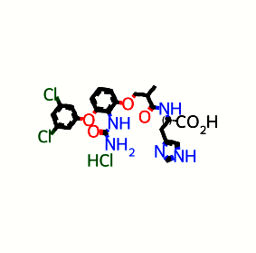 CC(COc1cccc(Oc2cc(Cl)cc(Cl)c2)c1NC(N)=O)C(=O)N[C@@H](Cc1c[nH]cn1)C(=O)O.Cl